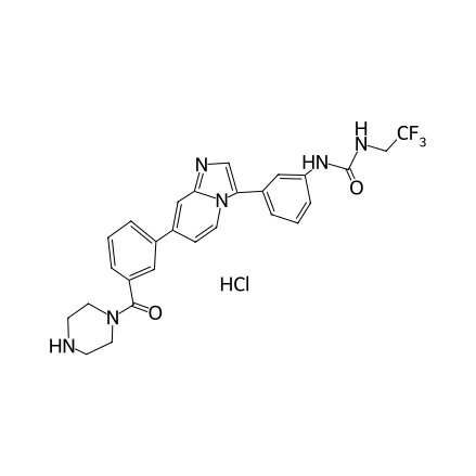 Cl.O=C(NCC(F)(F)F)Nc1cccc(-c2cnc3cc(-c4cccc(C(=O)N5CCNCC5)c4)ccn23)c1